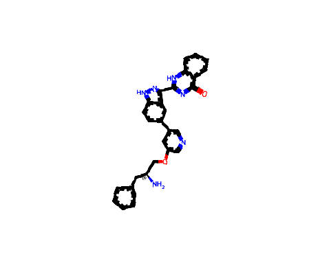 N[C@H](COc1cncc(-c2ccc3[nH]nc(-c4nc(=O)c5ccccc5[nH]4)c3c2)c1)Cc1ccccc1